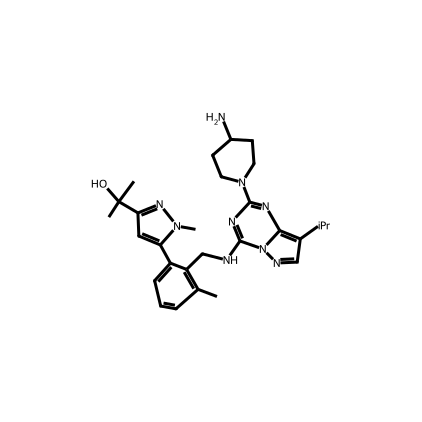 Cc1cccc(-c2cc(C(C)(C)O)nn2C)c1CNc1nc(N2CCC(N)CC2)nc2c(C(C)C)cnn12